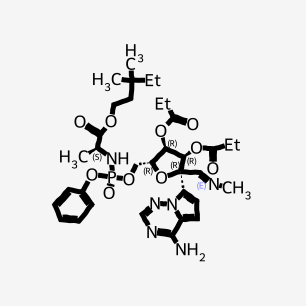 CCC(=O)O[C@H]1[C@@H](OC(=O)CC)[C@](/C=N/C)(c2ccc3c(N)ncnn23)O[C@@H]1COP(=O)(N[C@@H](C)C(=O)OCCC(C)(C)CC)Oc1ccccc1